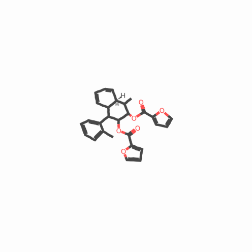 Cc1ccccc1C1C(OC(=O)c2ccco2)C(OC(=O)c2ccco2)C(C)[C@@H]2C=CC=CC12